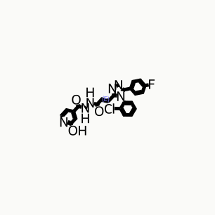 O=C(/C=C/c1nnc(-c2ccc(F)cc2)n1-c1ccccc1Cl)NNC(=O)c1ccnc(O)c1